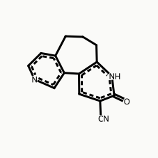 N#Cc1cc2c([nH]c1=O)CCCc1ccncc1-2